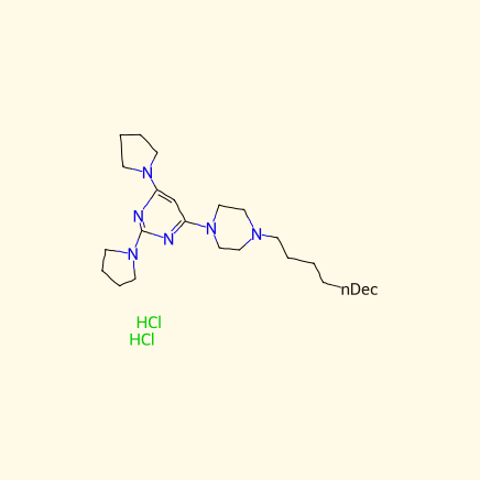 CCCCCCCCCCCCCCN1CCN(c2cc(N3CCCC3)nc(N3CCCC3)n2)CC1.Cl.Cl